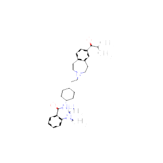 CC(C)C(=O)c1ccc2c(c1)CCN(CC[C@H]1CC[C@H](NC(=O)c3ccccc3N(C)C)CC1)CC2